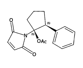 CC(=O)O[C@@]1(N2C(=O)C=CC2=O)CCC[C@H]1c1ccccc1